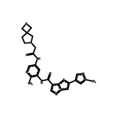 Cc1ncc(NC(=O)CN2CCC3(COC3)C2)cc1NC(=O)c1cnn2cc(-c3cnn(C)c3)sc12